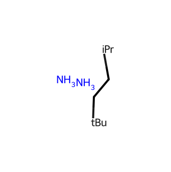 CC(C)CCC(C)(C)C.N.N